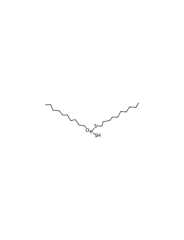 CCCCCCCCCCOP(S)SCCCCCCCCCC